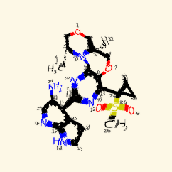 C[C@@H]1COC[C@H]2COc3c(nc(-c4c(N)cnc5[nH]ccc45)nc3C3(S(C)(=O)=O)CC3)N21